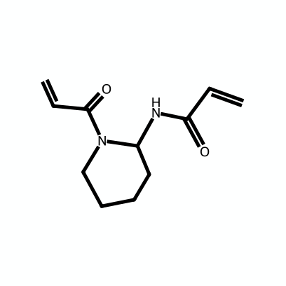 C=CC(=O)NC1CCCCN1C(=O)C=C